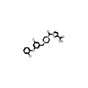 O=C(O)c1ccn(C(=O)N2CCN(Cc3cc(F)cc(Oc4ccccc4Cl)c3)CC2)n1